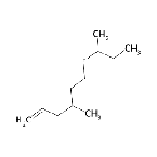 C=CCC(C)CCCC(C)CC